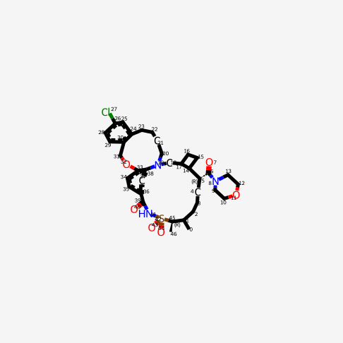 CC1CCC[C@@H](C(=O)N2CCOCC2)C2CCC2CN2CCCCc3cc(Cl)ccc3COc3ccc(cc32)C(=O)NS(=O)(=O)[C@@H]1C